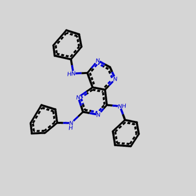 c1ccc(Nc2nc(Nc3ccccc3)c3ncnc(Nc4ccccc4)c3n2)cc1